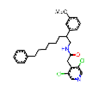 COc1cccc(C(CCCCCCc2ccccc2)CNC(=O)Cc2c(Cl)cncc2Cl)c1